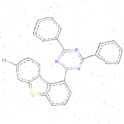 Clc1ccc2c(c1)sc1cccc(-c3nc(-c4ccccc4)nc(-c4ccccc4)n3)c12